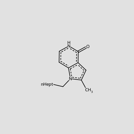 CCCCCCCCn1c(C)cc2c(=O)[nH]ccc21